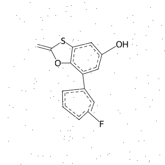 C=C1Oc2c(cc(O)cc2-c2cccc(F)c2)S1